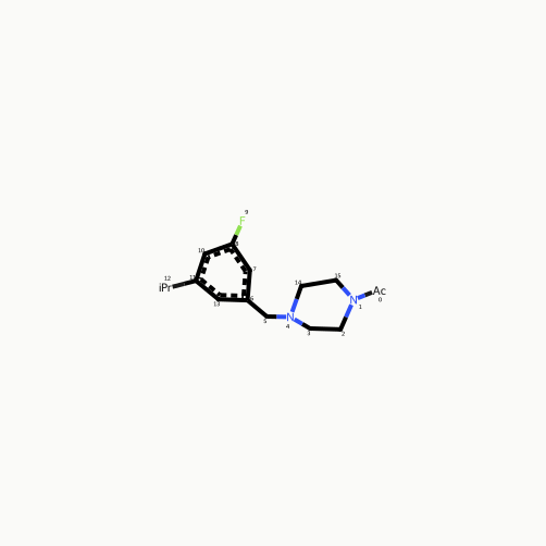 CC(=O)N1CCN(Cc2cc(F)cc(C(C)C)c2)CC1